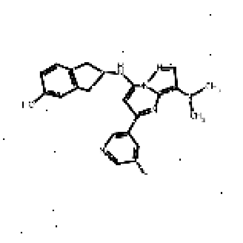 CN(C)c1cnn2c(N[C@@H]3Cc4ccc(O)cc4C3)cc(-c3cncc(F)c3)nc12